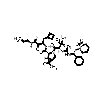 C=CCNC(=O)C(=O)C(CC1CCC1)NC(=O)[C@@H]1[C@@H]2C(CN1C(=O)[C@@H](NC(=O)N[C@H](CN1CCCCS1(=O)=O)C1CCCCC1)C(C)(C)C)C2(C)C